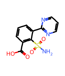 NS(=O)(=O)c1c(C(=O)O)cccc1-c1ncccn1